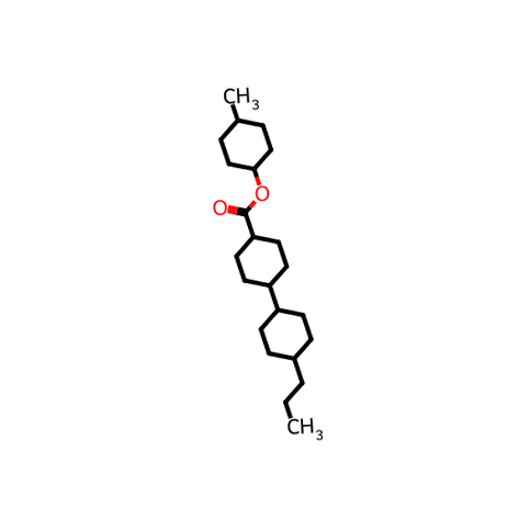 CCCC1CCC(C2CCC(C(=O)OC3CCC(C)CC3)CC2)CC1